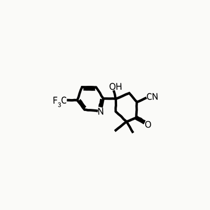 CC1(C)CC(O)(c2ccc(C(F)(F)F)cn2)CC(C#N)C1=O